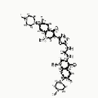 CCn1cc(-c2nnc(NC(=O)Nc3cn(CC)c4nc(N5CCN(C)CC5)c(F)cc4c3=O)o2)c(=O)c2cc(F)c(N3CCN(C)CC3)cc21